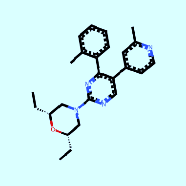 CC[C@@H]1CN(c2ncc(-c3ccnc(C)c3)c(-c3ccccc3C)n2)C[C@H](CC)O1